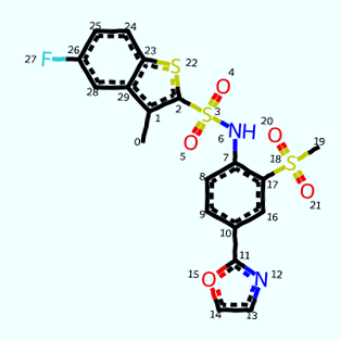 Cc1c(S(=O)(=O)Nc2ccc(-c3ncco3)cc2S(C)(=O)=O)sc2ccc(F)cc12